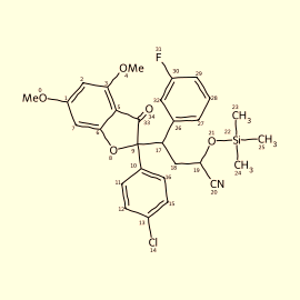 COc1cc(OC)c2c(c1)OC(c1ccc(Cl)cc1)(C(CC(C#N)O[Si](C)(C)C)c1cccc(F)c1)C2=O